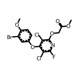 COC(=O)COc1nc(F)c(Cl)c(Oc2ccc(OC)c(Br)c2)c1Cl